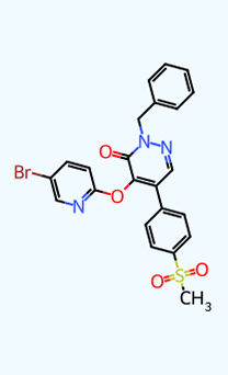 CS(=O)(=O)c1ccc(-c2cnn(Cc3ccccc3)c(=O)c2Oc2ccc(Br)cn2)cc1